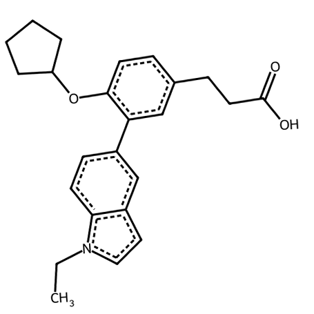 CCn1ccc2cc(-c3cc(CCC(=O)O)ccc3OC3CCCC3)ccc21